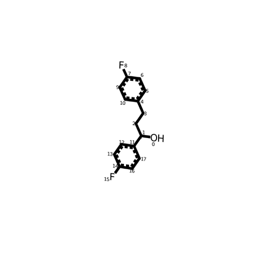 O[C](CCc1ccc(F)cc1)c1ccc(F)cc1